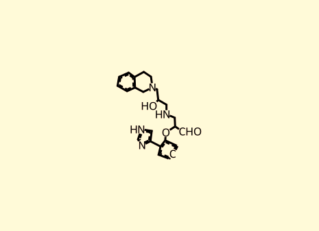 O=CC(CNCC(O)CN1CCc2ccccc2C1)Oc1ccccc1-c1c[nH]cn1